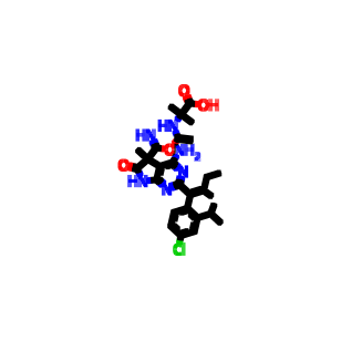 C=C(NC(C)(C)C(=O)O)OC(=N)C1(C)C(=O)Nc2nc(/C(=C(/C)CC)c3ccc(Cl)cc3C(C)C)nc(N)c21